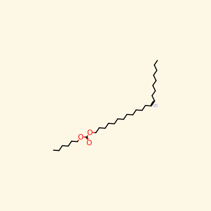 CCCCCCCC/C=C\CCCCCCCCCCCCOC(=O)OCCCCCC